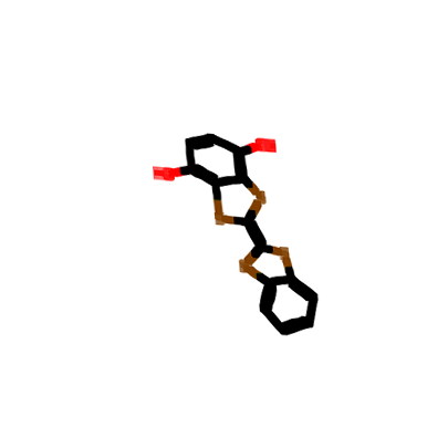 Oc1ccc(O)c2c1SC(=C1Sc3ccccc3S1)S2